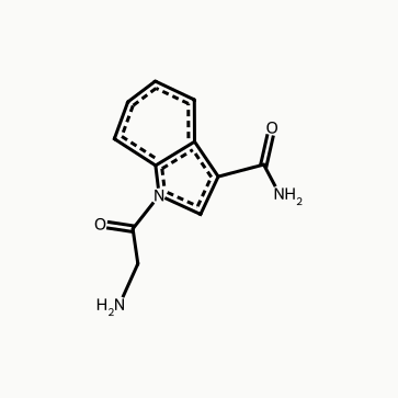 NCC(=O)n1cc(C(N)=O)c2ccccc21